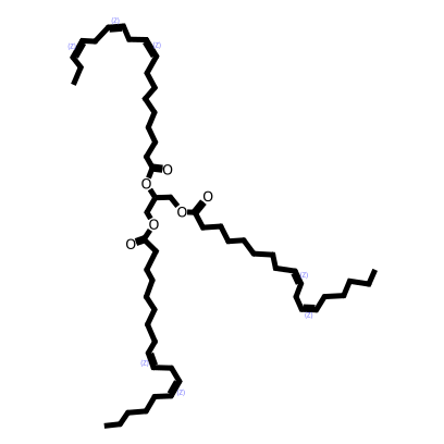 CC/C=C\C/C=C\C/C=C\CCCCCCCC(=O)OC(COC(=O)CCCCCCC/C=C\C/C=C\CCCCC)COC(=O)CCCCCCC/C=C\C/C=C\CCCCC